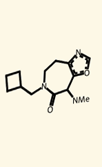 CNC1C(=O)N(CC2CCC2)CCc2ncoc21